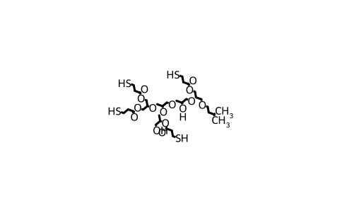 CC(C)CCOCC(COC(=O)CCS)OCC(O)COCC(COC(COC(=O)CCS)COC(=O)CCS)OCC(CO)OC(=O)CCS